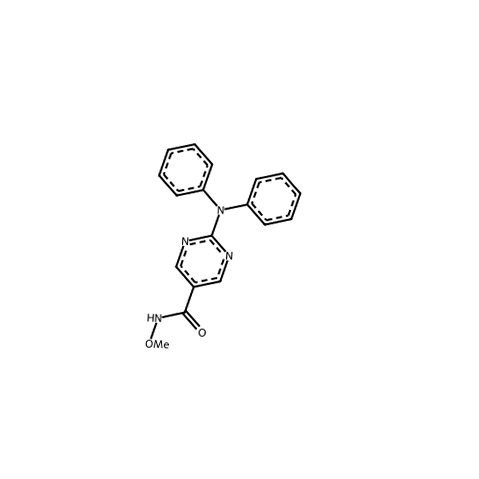 CONC(=O)c1cnc(N(c2ccccc2)c2ccccc2)nc1